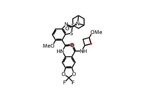 COc1ccc2nc(N3C4CC3C[S+]([O-])C4)sc2c1C(=O)Nc1cc2c(cc1C(=O)NC13CC(OC)(C1)C3)OC(F)(F)O2